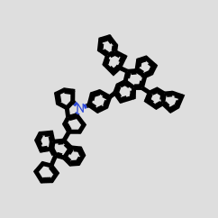 C1=CCCC(c2c3ccccc3c(C3=CC4=C(CC3)N(c3ccc(-c5ccc6c(-c7ccc8ccccc8c7)c7ccccc7c(-c7ccc8ccccc8c7)c6c5)cc3)C3C=CC=CC43)c3ccccc23)=C1